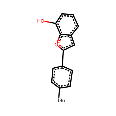 CC(C)(C)c1ccc(-c2cc3cccc(O)c3o2)cc1